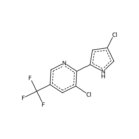 FC(F)(F)c1cnc(-c2cc(Cl)c[nH]2)c(Cl)c1